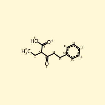 CCC(C(=O)O)C(=O)CCc1ccccc1